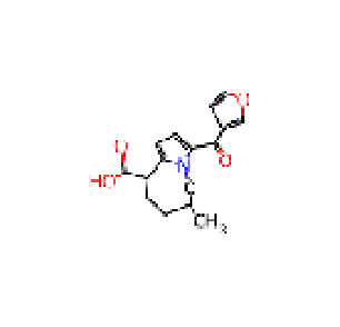 CC1CCC(C(=O)O)c2ccc(C(=O)c3ccoc3)n2C1